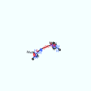 CN[C@@H](C)C(=O)N[C@@H]1C(=O)N2[C@@H](CC[C@@H]1CNC(=O)CCc1cn(CCCOCCOCCOCCCNC(=O)[C@@H](NC(=O)[C@@H]3CC[C@@H]4CC[C@H](CNCc5ccccc5)[C@H](NC(=O)[C@H](C)NC)C(=O)N43)c3ccccc3)nn1)CC[C@H]2C(=O)NCc1ccccc1